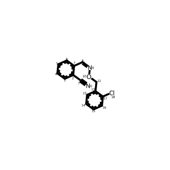 N#Cc1ccccc1/[C]=N\OCc1ccccc1Cl